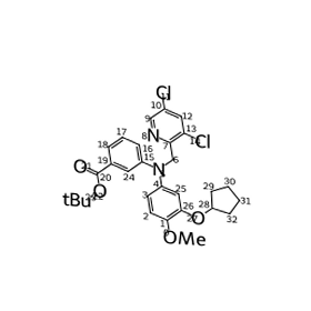 COc1ccc(N(Cc2ncc(Cl)cc2Cl)c2cccc(C(=O)OC(C)(C)C)c2)cc1OC1CCCC1